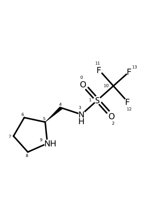 O=S(=O)(NC[C@@H]1CCCN1)C(F)(F)F